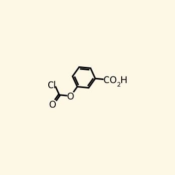 O=C(Cl)Oc1cccc(C(=O)O)c1